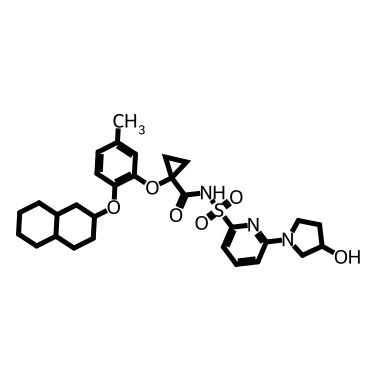 Cc1ccc(OC2CCC3CCCCC3C2)c(OC2(C(=O)NS(=O)(=O)c3cccc(N4CCC(O)C4)n3)CC2)c1